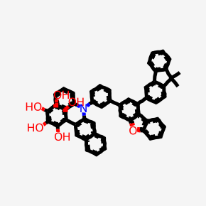 CC1(C)c2ccccc2-c2cc(-c3cc(-c4cccc(N(c5ccccc5)c5cc6ccccc6cc5-c5c(O)c(O)c(O)c(O)c5O)c4)cc4oc5ccccc5c34)ccc21